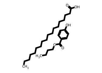 CCCCCCCCCCCCCCCCCC(=O)O.CCCCOC(=O)c1ccc(O)cc1